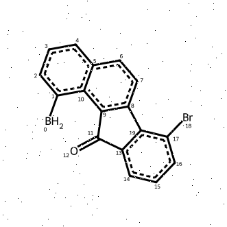 Bc1cccc2ccc3c(c12)C(=O)c1cccc(Br)c1-3